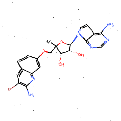 CC1(COc2ccc3cc(Br)c(N)nc3c2)O[C@@H](n2ccc3c(N)ncnc32)[C@H](O)[C@@H]1O